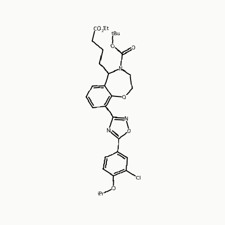 CCOC(=O)CCCC1c2cccc(-c3noc(-c4ccc(OC(C)C)c(Cl)c4)n3)c2OCCN1C(=O)OC(C)(C)C